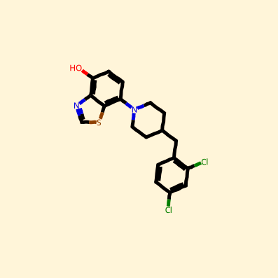 Oc1ccc(N2CCC(Cc3ccc(Cl)cc3Cl)CC2)c2scnc12